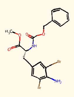 COC(=O)[C@@H](Cc1cc(Br)c(N)c(Br)c1)NC(=O)OCc1ccccc1